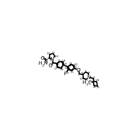 CC1(CN2CCC(COc3ccc(-c4ccc(C(=O)N5CCC[C@H]5C(N)=O)cc4)c(F)c3)CC2)CCC1